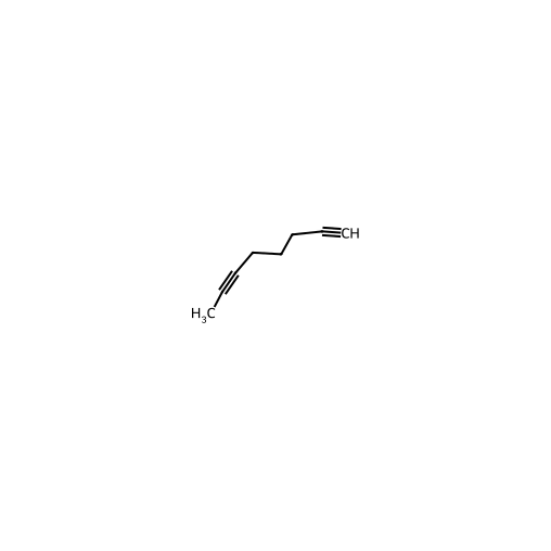 C#CCCCC#CC